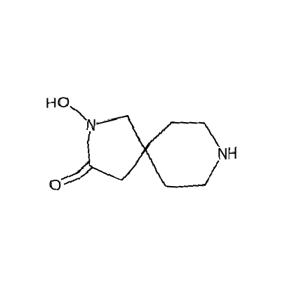 O=C1CC2(CCNCC2)CN1O